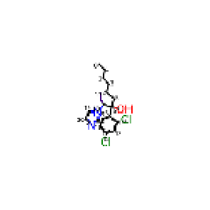 CCCCCCC(O)(c1ccc(Cl)cc1Cl)C(I)n1ccnc1